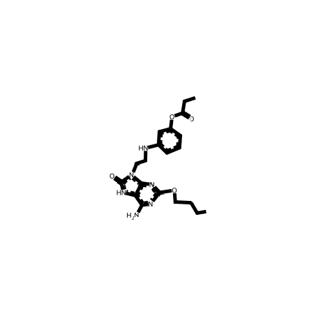 CCCCOc1nc(N)c2[nH]c(=O)n(CCNc3cccc(OC(=O)CC)c3)c2n1